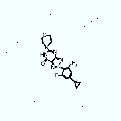 O=c1[nH]c(N2CCOCC2)nc2nn(-c3c(F)cc(C4CC4)cc3C(F)(F)F)nc12